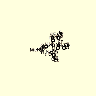 CCS(=O)(=O)c1ccc(C(CC(N)=O)NC(=O)c2ccc3c(c2)nc(C(F)(F)F)n3Cc2cccc3c2OC(F)(F)O3)cc1.CNC(=O)CS(=O)(=O)c1ccc(CNC(=O)c2ccc3c(c2)nc(C(F)(F)F)n3Cc2cccc3c2OC(F)(F)O3)cc1